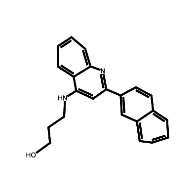 OCCCNc1cc(-c2ccc3ccccc3c2)nc2ccccc12